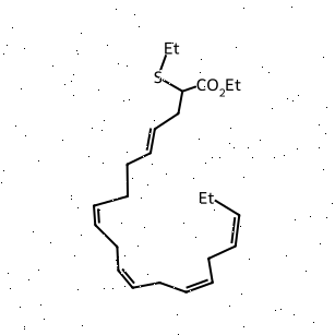 CC/C=C\C/C=C\C/C=C\C/C=C\CC/C=C/CC(SCC)C(=O)OCC